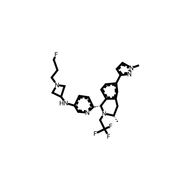 C[C@H]1Cc2cc(-c3ccn(C)n3)ccc2[C@@H](c2ccc(NC3CN(CCCF)C3)cn2)N1CC(F)(F)F